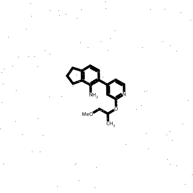 COCC(C)Oc1cc(-c2ccc3c(c2N)CCC3)ccn1